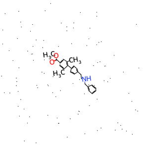 COC(=O)c1cc(C)c(-c2ccc(CCNCc3ccccc3)cc2)c(C)c1